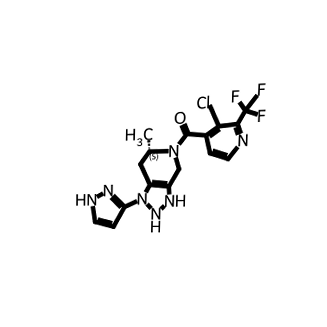 C[C@H]1CC2=C(CN1C(=O)c1ccnc(C(F)(F)F)c1Cl)NNN2c1cc[nH]n1